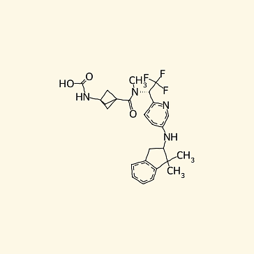 CN(C(=O)C12CC(NC(=O)O)(C1)C2)[C@@H](c1ccc(NC2Cc3ccccc3C2(C)C)cn1)C(F)(F)F